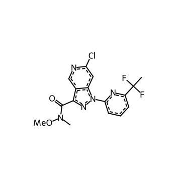 CON(C)C(=O)c1nn(-c2cccc(C(C)(F)F)n2)c2cc(Cl)ncc12